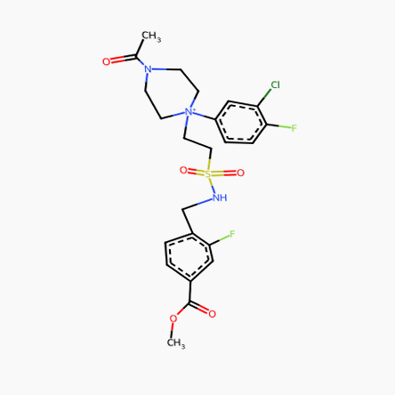 COC(=O)c1ccc(CNS(=O)(=O)CC[N+]2(c3ccc(F)c(Cl)c3)CCN(C(C)=O)CC2)c(F)c1